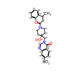 CC(CC(=O)N1CCC(O)(Cn2cnc3cc([N+](=O)[O-])ccc3c2=O)CC1)c1ccccc1